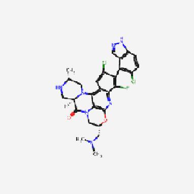 C[C@@H]1CN2c3c4c(nc5c(F)c(-c6c(Cl)ccc7[nH]ncc67)c(Cl)cc35)O[C@H](CN(C)C)CN4C(=O)[C@H]2CN1